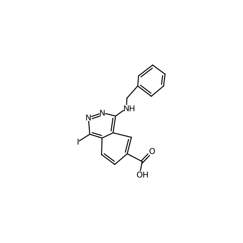 O=C(O)c1ccc2c(I)nnc(NCc3ccccc3)c2c1